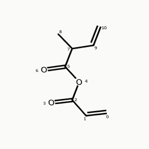 C=CC(=O)OC(=O)C(C)C=C